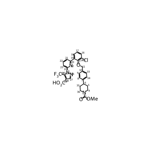 COC(=O)N1CCC(c2ccc(COc3c(Cl)cccc3-c3cccc(-n4ncc(C(=O)O)c4C(F)(F)F)n3)cc2)CC1